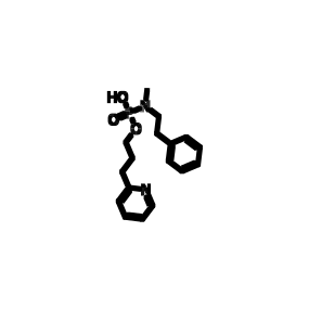 CN(CCc1ccccc1)P(=O)(O)OCCCc1ccccn1